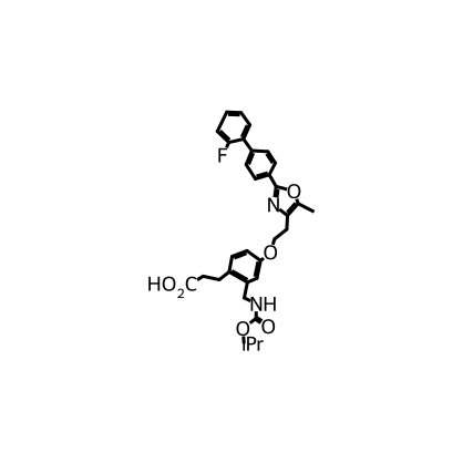 Cc1oc(-c2ccc(-c3ccccc3F)cc2)nc1CCOc1ccc(CCC(=O)O)c(CNC(=O)OC(C)C)c1